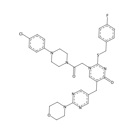 O=C(Cn1cc(Cc2cnc(N3CCOCC3)nc2)c(=O)nc1SCc1ccc(F)cc1)N1CCN(c2ccc(Cl)cc2)CC1